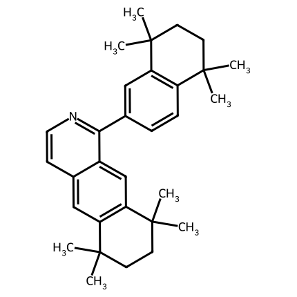 CC1(C)CCC(C)(C)c2cc(-c3nccc4cc5c(cc34)C(C)(C)CCC5(C)C)ccc21